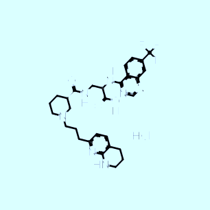 Cl.O=C(O)C(CNC(=O)[C@@H]1CCCN(CCCc2ccc3c(n2)NCCC3)C1)Nc1ncnc2cc(C(F)(F)F)ccc12